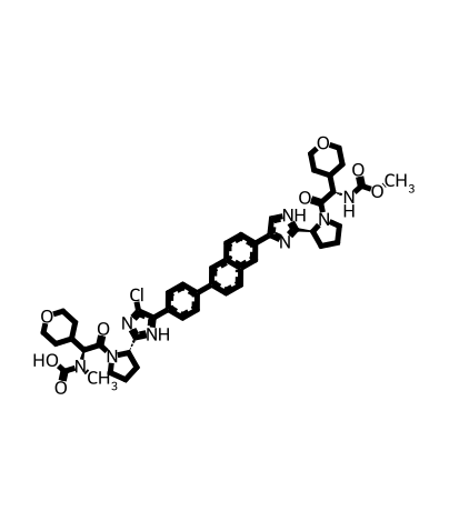 COC(=O)N[C@H](C(=O)N1CCC[C@H]1c1nc(-c2ccc3cc(-c4ccc(-c5[nH]c([C@@H]6CCCN6C(=O)[C@H](C6CCOCC6)N(C)C(=O)O)nc5Cl)cc4)ccc3c2)c[nH]1)C1CCOCC1